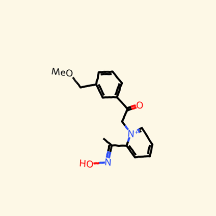 COCc1cccc(C(=O)C[n+]2ccccc2C(C)=NO)c1